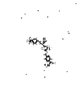 C[C@H](NC(=O)[C@H](N)CCc1ccc(C(F)(F)F)cc1)C(=O)NCc1ccc(C(=N)N)cc1